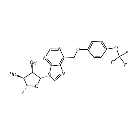 C[C@H]1O[C@@H](n2cnc3c(COc4ccc(OC(F)(F)F)cc4)ncnc32)[C@H](O)[C@@H]1O